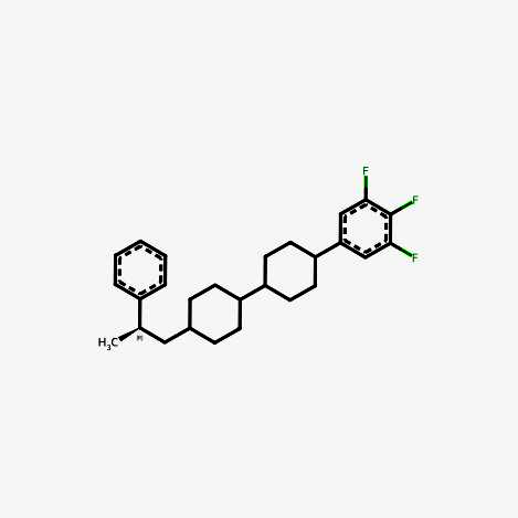 C[C@H](CC1CCC(C2CCC(c3cc(F)c(F)c(F)c3)CC2)CC1)c1ccccc1